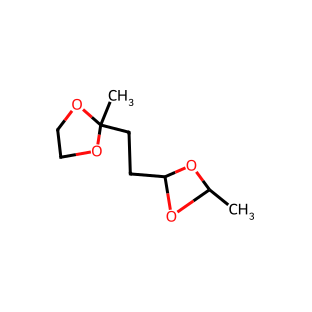 CC1OC(CCC2(C)OCCO2)O1